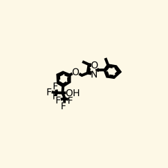 Cc1ccccc1-c1nc(COc2cccc(C(O)(C(F)(F)F)C(F)(F)F)c2)c(C)o1